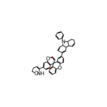 C1=CC2C3C=C(c4ccc5c(c4)C4(c6ccccc6Oc6cc(C7=CCCCN7)ccc64)c4ccccc4O5)C=CC3N(c3ccccc3)C2CC1